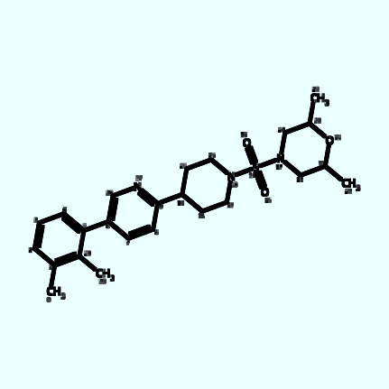 Cc1cccc(-c2ccc(C3CCN(S(=O)(=O)N4CC(C)OC(C)C4)CC3)nc2)c1C